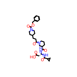 O=C(O)C[C@@H](NC(=O)C1CC1)NC(=O)[C@@H]1CCCN(C(=O)CCC2CCN(C(=O)OCc3ccccc3)CC2)C1